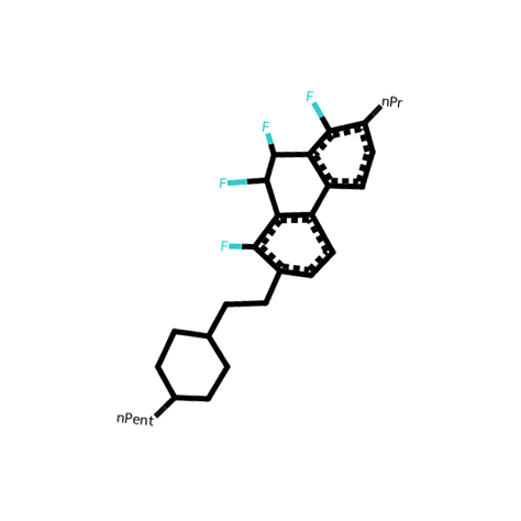 CCCCCC1CCC(CCc2ccc3c(c2F)C(F)C(F)c2c-3ccc(CCC)c2F)CC1